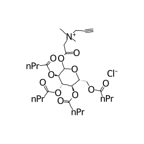 C#CC[N+](C)(C)CC(=O)OC1O[C@H](COC(=O)CCC)[C@@H](OC(=O)CCC)[C@H](OC(=O)CCC)[C@H]1OC(=O)CCC.[Cl-]